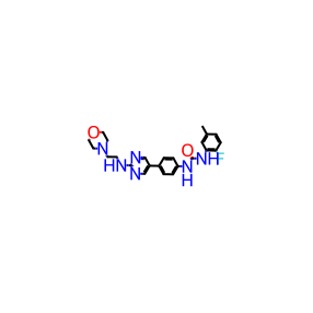 Cc1ccc(F)c(NC(=O)Nc2ccc(-c3cnc(NCCN4CCOCC4)nc3)cc2)c1